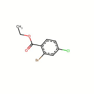 CCOC(=O)c1ccc(Cl)cc1Br